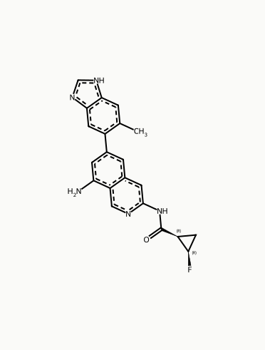 Cc1cc2[nH]cnc2cc1-c1cc(N)c2cnc(NC(=O)[C@H]3C[C@H]3F)cc2c1